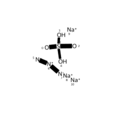 O=S(=O)(O)O.[N-]=[N+]=[N-].[Na+].[Na+].[Na+]